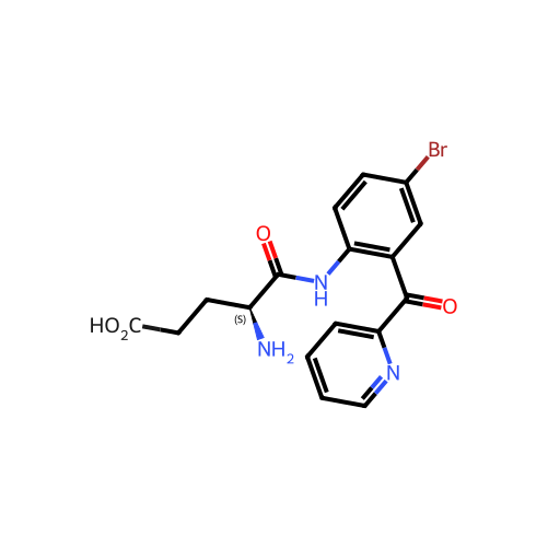 N[C@@H](CCC(=O)O)C(=O)Nc1ccc(Br)cc1C(=O)c1ccccn1